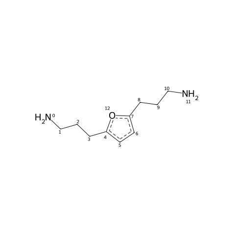 NCCCc1ccc(CCCN)o1